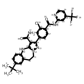 CC(C)(C)c1ccc2c(c1)CCn1nc(-c3ccc(C(=O)Nc4cc(C(F)(F)F)ccn4)c(Cl)c3)c(C(N)=O)c1N2